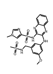 COc1cc(CNS(C)(=O)=O)cc(Nc2nc3ccccc3nc2NS(=O)(=O)c2cn(C)cn2)c1